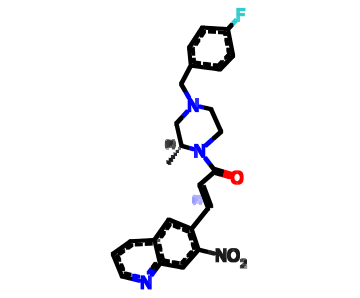 C[C@@H]1CN(Cc2ccc(F)cc2)CCN1C(=O)/C=C/c1cc2cccnc2cc1[N+](=O)[O-]